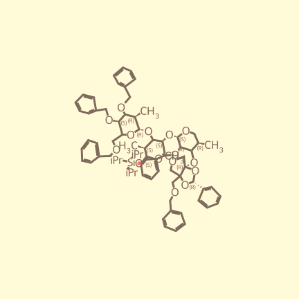 CC1O[C@@H](O[Si](C(C)C)(C(C)C)C(C)C)[C@@H](C)C(O[C@@H]2OC(COCc3ccccc3)[C@@H](OCc3ccccc3)C(OCc3ccccc3)[C@H]2C)[C@H]1O[C@@H]1OC[C@@H](C)C(O[C@@]23COCC2(COCc2ccccc2)O[C@@H](c2ccccc2)O3)[C@H]1OCc1ccccc1